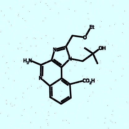 CCOCc1nc2c(N)nc3cccc(C(=O)O)c3c2n1CC(C)(C)O